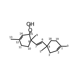 CC1=CCC(C)(/C=C/C2(C)CCC(C)=CC2OO)CC1